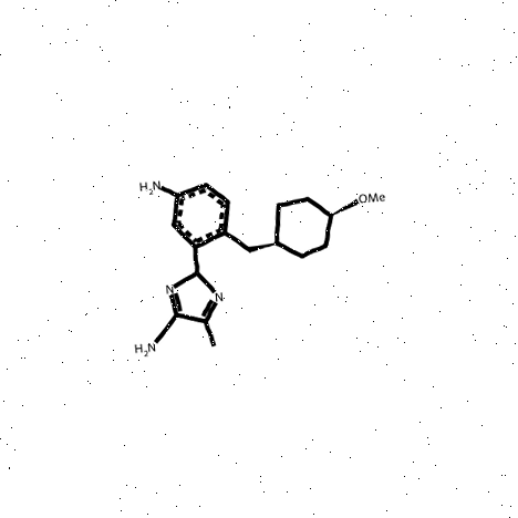 CO[C@H]1CC[C@@H](Cc2ccc(N)cc2C2N=C(C)C(N)=N2)CC1